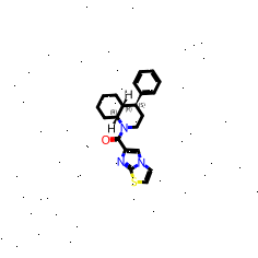 O=C(c1cn2ccsc2n1)N1CC[C@H](c2ccccc2)[C@H]2CCCC[C@H]21